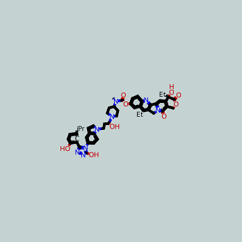 CCc1c2c(nc3ccc(OC(=O)N(C)C4CCN(C(O)CCn5ccc6cc(-n7c(O)nnc7-c7cc(C(C)C)ccc7O)ccc65)CC4)cc13)-c1cc3c(c(=O)n1C2)COC(=O)C3(O)CC